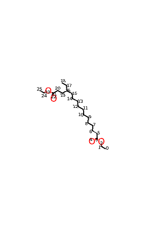 CCOC(=O)CCCCCCCCCCCC(CC)CCC(=O)OCC